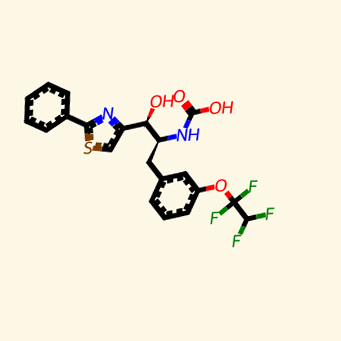 O=C(O)N[C@@H](Cc1cccc(OC(F)(F)C(F)F)c1)[C@H](O)c1csc(-c2ccccc2)n1